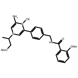 COCC(C)N1C=C(N)N(C#N)C(c2ccc(CNC(=O)c3ccccc3OC)cc2)=C1